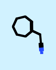 N#CCC1=CCCCCC1